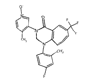 Cc1cc[n+]([O-])cc1N1CN(c2ccc(F)cc2C)c2ccc(C(F)(F)F)cc2C1=O